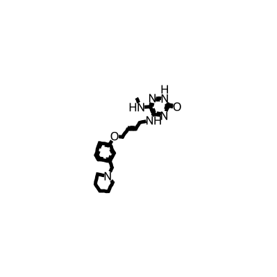 CNc1n[nH]c(=O)nc1NCC=CCOc1cccc(CN2CCCCC2)c1